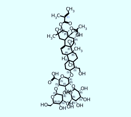 C/C=C(\C)C(=O)O[C@H]1[C@H](OC(C)=O)[C@@]2(CO)C(CC1(C)C)C1=CC[C@@H]3[C@@]4(C)CC[C@H](O[C@@H]5O[C@H](C(=O)O)[C@@H](O[C@@H]6O[C@H](CO)[C@@H](O)[C@H](O)[C@H]6O)[C@H](O)[C@H]5O[C@@H]5O[C@H](CO)[C@@H](O)[C@H](O)[C@H]5O)[C@H](CO)C4CC[C@@]3(C)[C@@]1(C)C[C@H]2O